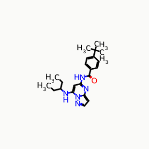 CCC(CC)Nc1cc(NC(=O)c2ccc(C(C)(C)C)cc2)nc2ccnn12